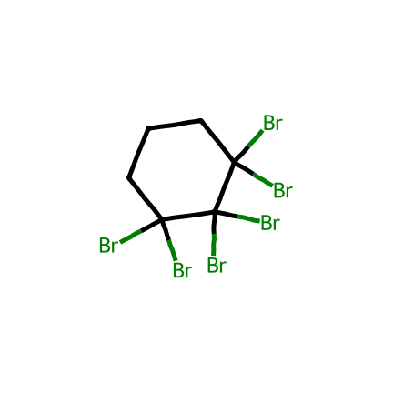 BrC1(Br)CCCC(Br)(Br)C1(Br)Br